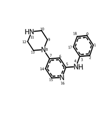 c1ccc(Nc2cc(N3CCNCC3)ccn2)cc1